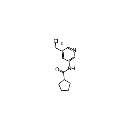 CCc1cncc(NC(=O)C2CCCC2)c1